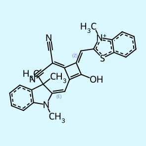 CN1/C(=C/C2=C(O)C(=C\c3sc4ccccc4[n+]3C)/C2=C(C#N)C#N)C(C)(C)c2ccccc21